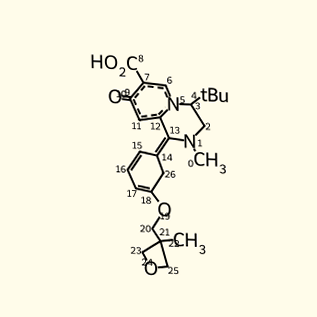 CN1CC(C(C)(C)C)n2cc(C(=O)O)c(=O)cc2/C1=C1\C=CC=C(OCC2(C)COC2)C1